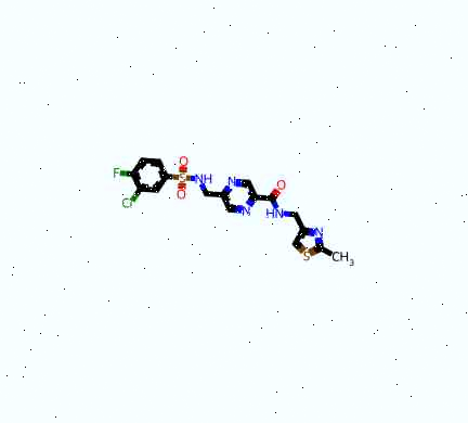 Cc1nc(CNC(=O)c2cnc(CNS(=O)(=O)c3ccc(F)c(Cl)c3)cn2)cs1